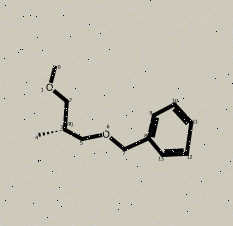 COC[C@@H](C)COCc1ccccc1